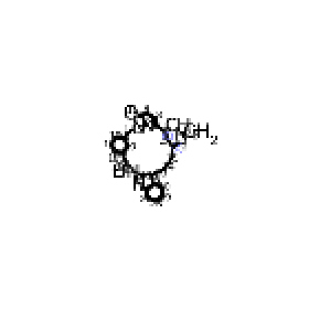 C=N/C=C1\C=C(/C)c2ccc(=O)n(n2)Cc2cccc(c2)C(=O)NC2=Nc3ccccc3C2CCC1